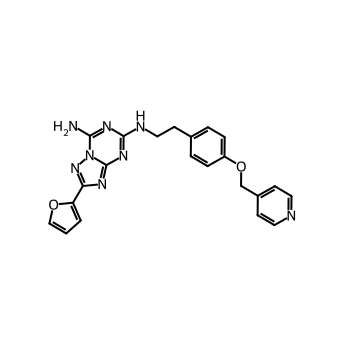 Nc1nc(NCCc2ccc(OCc3ccncc3)cc2)nc2nc(-c3ccco3)nn12